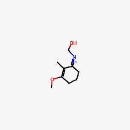 COC1=C(C)/C(=N\CO)CCC1